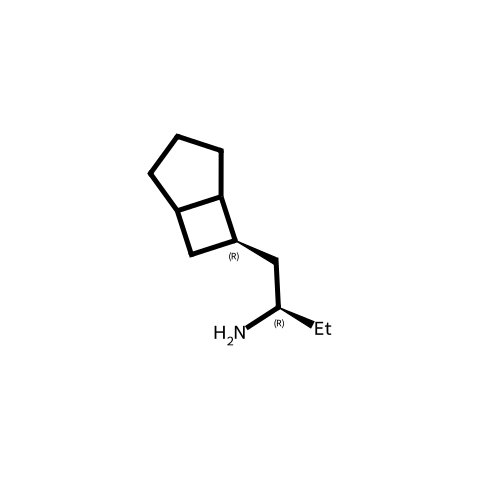 CC[C@@H](N)C[C@H]1CC2CCCC21